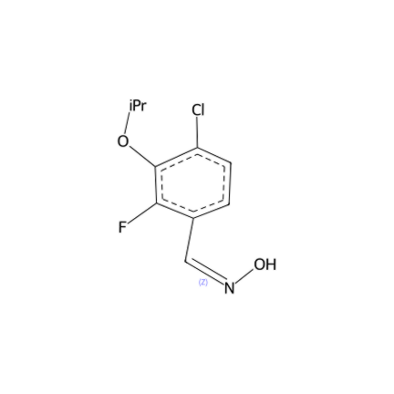 CC(C)Oc1c(Cl)ccc(/C=N\O)c1F